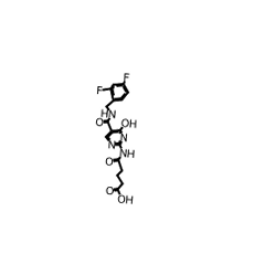 O=C(O)CCCC(=O)Nc1ncc(C(=O)NCc2ccc(F)cc2F)c(O)n1